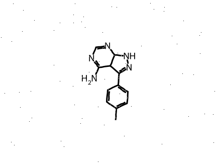 Cc1ccc(C2=NNC3N=CN=C(N)C23)cc1